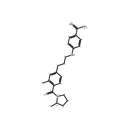 Cc1cc(CCCNc2ccc(C(=N)N)cc2)ccc1C(=O)N1CCCC1C